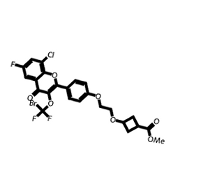 COC(=O)C1CC(OCCOc2ccc(-c3oc4c(Cl)cc(F)cc4c(=O)c3OC(F)(F)Br)cc2)C1